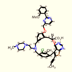 CC#Cc1sc2ncnc3c2c1-c1ccc(c(Cl)c1C)CN(CCN1CCN(C)CC1)Cc1ccc(OCc2ccnc(-c4ccccc4OC)n2)c(c1)C[C@H](C(=O)O)O3